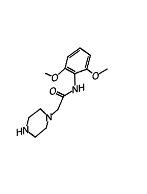 COc1cccc(OC)c1NC(=O)CN1CCNCC1